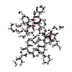 CC(C)(C)c1cc(-c2cccc3c2oc2ccccc23)c(-c2ccc3c(c2)N(c2c(-c4ccccc4)cccc2-c2ccccc2)c2cc(-n4c5ccc(C(C)(C)C)cc5c5cc(C(C)(C)C)ccc54)cc4c2C3c2ccc(-c3ccc(-c5ccccc5)cc3-c3ccccc3)cc2N4c2ccc(-c3ccccc3)cc2-c2ccccc2)c(-n2c3ccccc3c3ccccc32)c1